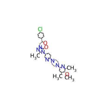 COc1c(C)cc(N2CCN(c3ccc(-n4c(C)nn(CC(=O)c5ccc(Cl)cc5)c4=O)cn3)CC2)nc1C